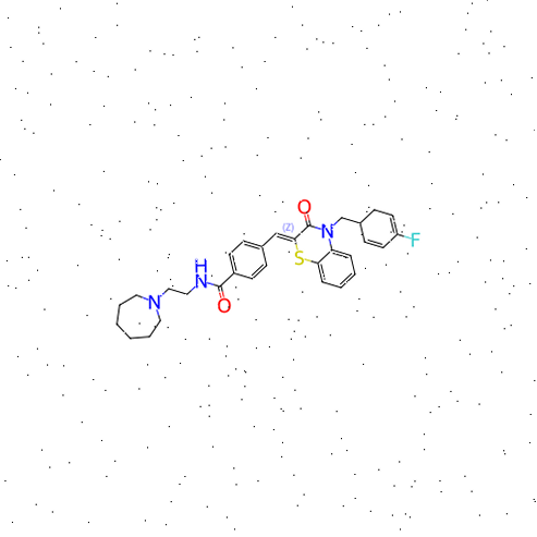 O=C(NCCN1CCCCCC1)c1ccc(/C=C2\Sc3ccccc3N(CC3C=CC(F)=CC3)C2=O)cc1